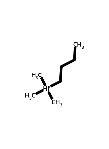 CCC[CH2][Hf]([CH3])([CH3])[CH3]